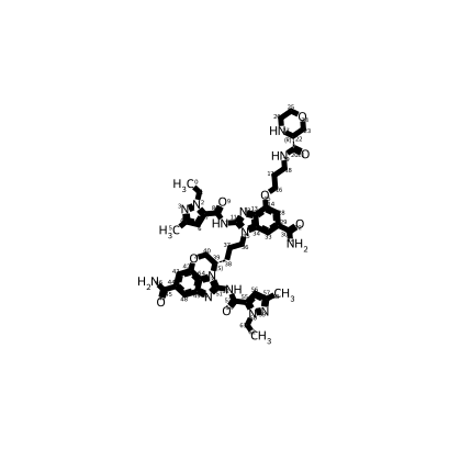 CCn1nc(C)cc1C(=O)Nc1nc2c(OCCCNC(=O)[C@H]3COCCN3)cc(C(N)=O)cc2n1CCC[C@H]1COc2cc(C(N)=O)cc3nc(NC(=O)c4cc(C)nn4CC)n1c23